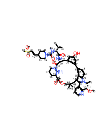 CCn1c(-c2cccnc2[C@H](C)OC)c2c3cc(ccc31)-c1cc(O)cc(c1)C[C@H](NC(=O)[C@H](C(C)C)N(C)C(=O)N1CCC(/C=C/S(C)(=O)=O)CC1)C(=O)N1CCC[C@H](N1)C(=O)OCC(C)(C)C2